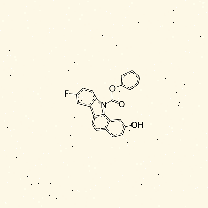 O=C(Oc1ccccc1)n1c2ccc(F)cc2c2ccc3ccc(O)cc3c21